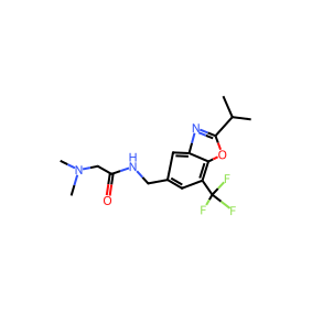 CC(C)c1nc2cc(CNC(=O)CN(C)C)cc(C(F)(F)F)c2o1